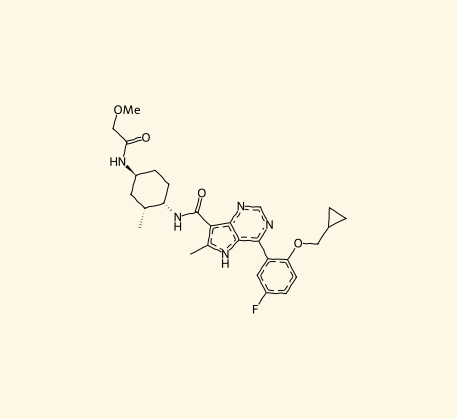 COCC(=O)N[C@H]1CC[C@H](NC(=O)c2c(C)[nH]c3c(-c4cc(F)ccc4OCC4CC4)ncnc23)[C@H](C)C1